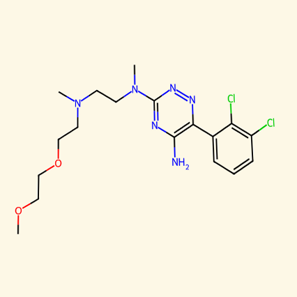 COCCOCCN(C)CCN(C)c1nnc(-c2cccc(Cl)c2Cl)c(N)n1